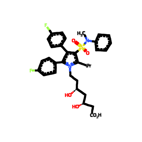 CC(C)c1c(S(=O)(=O)N(C)c2ccccc2)c(-c2ccc(F)cc2)c(-c2ccc(F)cc2)n1CC[C@@H](O)C[C@@H](O)CC(=O)O